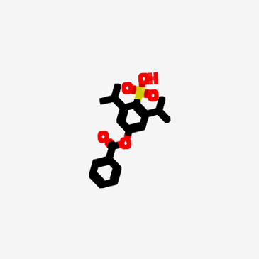 CC(C)c1cc(OC(=O)c2ccccc2)cc(C(C)C)c1S(=O)(=O)O